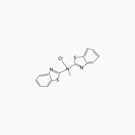 C[N+](C)(c1nc2ccccc2s1)c1nc2ccccc2s1.[Cl-]